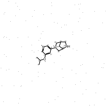 CC(C)Oc1cncc(N2CC3CNC(C3)C2)c1